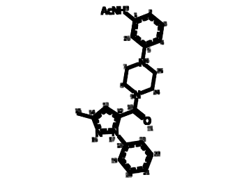 CC(=O)Nc1cccc(N2CCN(C(=O)c3cc(C)nn3-c3ccccc3)CC2)c1